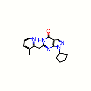 Cc1cccnc1Cc1nc2c(cnn2C2CCCC2)c(=O)[nH]1